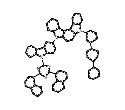 c1ccc(-c2ccc(-c3cccc(-n4c5ccccc5c5c6c7ccccc7n(-c7ccc8c(c7)c7ccccc7n8-c7nc(-c8cccc9ccccc89)nc(-c8cccc9ccccc89)n7)c6ccc54)c3)cc2)cc1